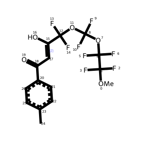 COC(F)(F)C(F)(F)OC(F)(F)OC(F)(F)/C(O)=C/C(=O)c1ccc(C)cc1